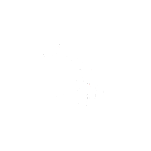 CCC1(C(C/C=C/[C@@H]2[C@@H](C/C=C\CCCC(=O)OC)[C@@H](O)C[C@H]2O[Si](C)(C)C(C)(C)C)O[Si](C)(C)C(C)(C)C)CCC1